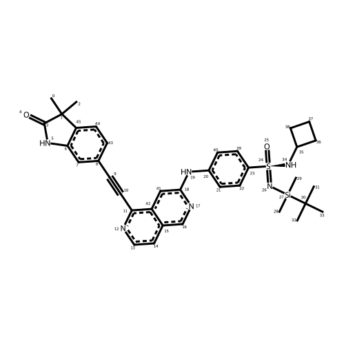 CC1(C)C(=O)Nc2cc(C#Cc3nccc4cnc(Nc5ccc([S@](=O)(=N[Si](C)(C)C(C)(C)C)NC6CCC6)cc5)cc34)ccc21